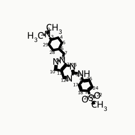 CN(C)C1CCC(Cn2ncc3cnc(Nc4ccc(S(C)(=O)=O)cc4)nc32)CC1